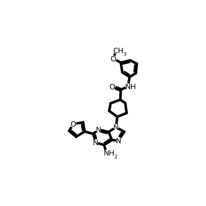 COc1cccc(NC(=O)C2CCC(n3cnc4c(N)nc(-c5ccoc5)nc43)CC2)c1